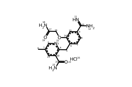 Cc1cnc(Cc2ccc(C(=N)N)cc2OCC(N)=O)c(C(N)=O)c1.Cl